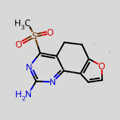 CS(=O)(=O)c1nc(N)nc2c1CCc1occc1-2